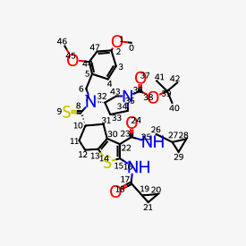 COc1ccc(CN(C(=S)[C@H]2CCc3sc(NC(=O)C4CC4)c(C(=O)NCC4CC4)c3C2)[C@H]2CCN(C(=O)OC(C)(C)C)C2)c(OC)c1